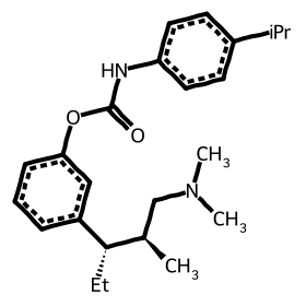 CC[C@H](c1cccc(OC(=O)Nc2ccc(C(C)C)cc2)c1)[C@H](C)CN(C)C